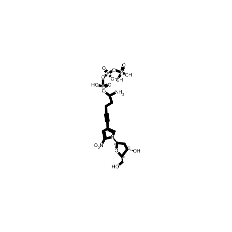 NC(CCC#Cc1cc([N+](=O)[O-])n([C@H]2C[C@H](O)[C@@H](CO)O2)c1)OP(=O)(O)OP(=O)(O)OP(=O)(O)O